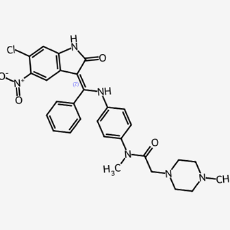 CN1CCN(CC(=O)N(C)c2ccc(N/C(=C3\C(=O)Nc4cc(Cl)c([N+](=O)[O-])cc43)c3ccccc3)cc2)CC1